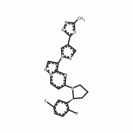 Cc1nnc(-c2cnn(-c3cnn4ccc(N5CCC[C@H]5c5cc(F)ccc5F)nc34)c2)o1